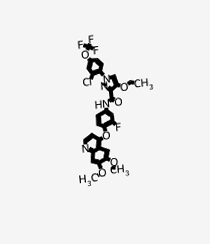 CCOc1cn(-c2ccc(OC(F)(F)F)cc2Cl)nc1C(=O)Nc1ccc(Oc2ccnc3cc(OC)c(OC)cc23)c(F)c1